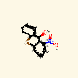 O=c1c2ccccc2sc2cccc([N+](=O)[O-])c12